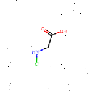 O=C(O)CNCl